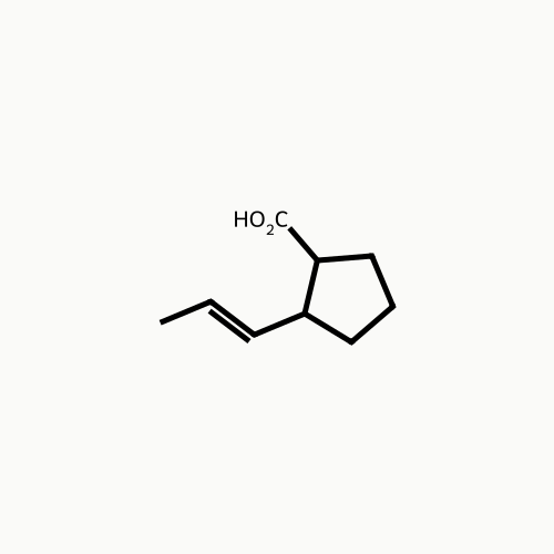 CC=CC1CCCC1C(=O)O